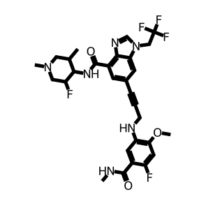 CNC(=O)c1cc(NCC#Cc2cc(C(=O)NC3C(C)CN(C)CC3F)c3ncn(CC(F)(F)F)c3c2)c(OC)cc1F